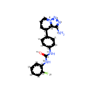 Nc1nnn2cccc(-c3ccc(NC(=O)Nc4ccccc4F)cc3)c12